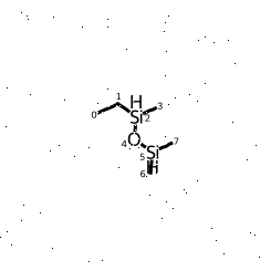 CC[SiH](C)O[SiH](C)C